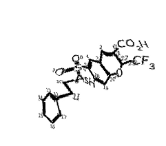 O=C(O)C1=Cc2cc(S(=O)(=O)[AsH]CCc3ccccc3)ccc2OC1C(F)(F)F